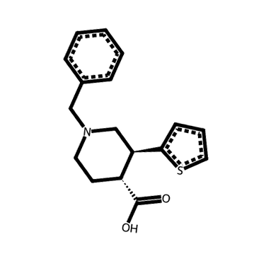 O=C(O)[C@@H]1CCN(Cc2ccccc2)C[C@H]1c1cccs1